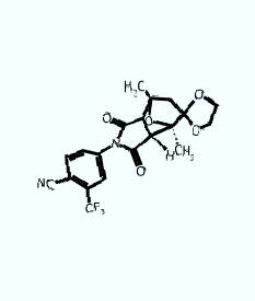 C[C@@]12CC3(OCCO3)[C@](C)(O1)[C@@H]1C(=O)N(c3ccc(C#N)c(C(F)(F)F)c3)C(=O)C12